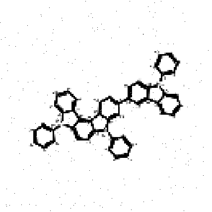 c1ccc(-n2c3ccccc3c3cc(-c4ccc5c6c7c8ccccc8n(-c8ccccc8)c7ccc6n(-c6ccccc6)c5c4)ccc32)cc1